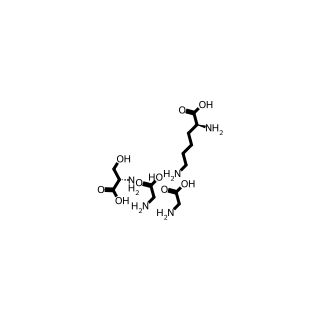 NCC(=O)O.NCC(=O)O.NCCCC[C@H](N)C(=O)O.N[C@@H](CO)C(=O)O